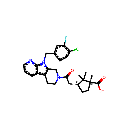 CC1(C)[C@@H](CC(=O)N2CCc3c(n(Cc4ccc(Cl)c(F)c4)c4ncccc34)C2)CC[C@@]1(C)C(=O)O